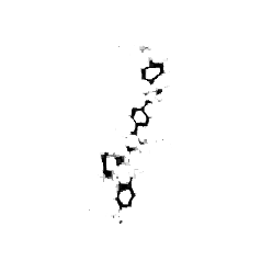 CC(C)c1ccc(N(C)C)cc1N1C(=O)CS/C1=N\C(=S)NN(C)C(C)c1ccc(-c2ncn(-c3ccc(OC(F)(F)F)cc3)n2)cc1